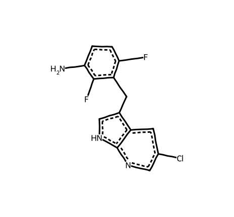 Nc1ccc(F)c(Cc2c[nH]c3ncc(Cl)cc23)c1F